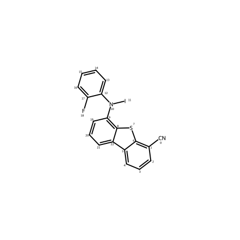 N#Cc1cccc2c1sc1c(N(I)c3ccccc3F)cccc12